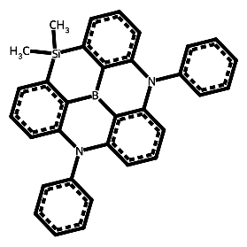 C[Si]1(C)c2cccc3c2B2c4c(cccc4N(c4ccccc4)c4cccc1c42)N3c1ccccc1